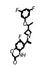 C=C(c1cc2c(cc1F)OCC(=O)N2)N1CC(C(C)Oc2cc(F)cc(F)c2)C1